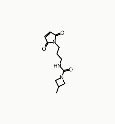 CC1CN(C(=O)NCCCN2C(=O)C=CC2=O)C1